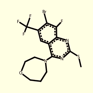 CSc1nc(N2CCCOCC2)c2cc(C(F)(F)F)c(Br)c(F)c2n1